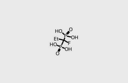 CCC(F)(P(=O)(O)O)P(=O)(O)O